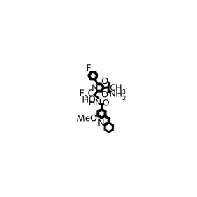 COc1cc(C(=O)NC[C@](O)(c2cc3c(c(-c4ccc(F)cc4)n2)OC[C@]3(C)C(N)=O)C(F)(F)F)cc2cc3c(nc12)CCCC3